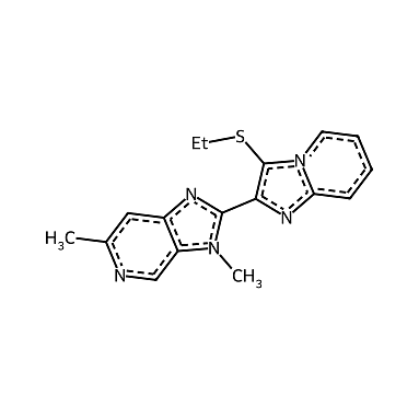 CCSc1c(-c2nc3cc(C)ncc3n2C)nc2ccccn12